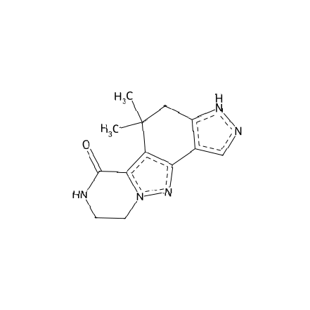 CC1(C)Cc2[nH]ncc2-c2nn3c(c21)C(=O)NCC3